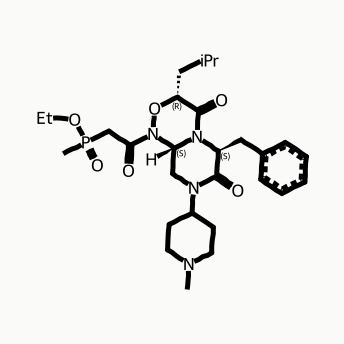 CCOP(C)(=O)CC(=O)N1O[C@H](CC(C)C)C(=O)N2[C@@H]1CN(C1CCN(C)CC1)C(=O)[C@@H]2Cc1ccccc1